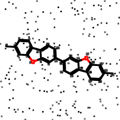 Cc1ccc2c(c1)oc1cc(-c3ccc4c(c3)oc3cc(C)ccc34)ccc12